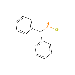 SPC(c1ccccc1)c1ccccc1